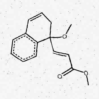 COC(=O)/C=C/C1(OC)CC=Cc2ccccc21